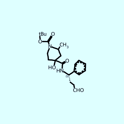 CC1CC(O)(C(=O)N[C@@H](CCC=O)c2ccccc2)CCN1C(=O)OC(C)(C)C